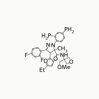 CCc1ccc(C2C(c3ccc(F)cc3F)=NN(c3ccc(P)cc3P)C2(C)C(=O)NC2(COC)COC2)o1